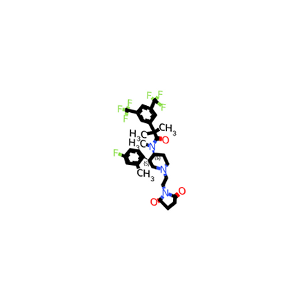 Cc1cc(F)ccc1[C@H]1CN(CCN2C(=O)CCC2=O)CC[C@@H]1N(C)C(=O)C(C)(C)c1cc(C(F)(F)F)cc(C(F)(F)F)c1